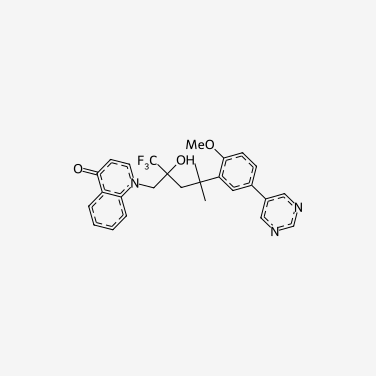 COc1ccc(-c2cncnc2)cc1C(C)(C)CC(O)(Cn1ccc(=O)c2ccccc21)C(F)(F)F